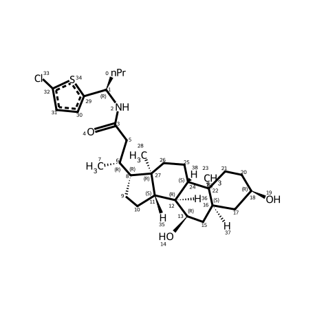 CCC[C@@H](NC(=O)C[C@@H](C)[C@H]1CC[C@H]2[C@@H]3[C@H](O)C[C@@H]4C[C@H](O)CC[C@]4(C)[C@H]3CC[C@]12C)c1ccc(Cl)s1